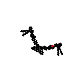 CCCCCCCCC1(CCCCCCCC)c2ccccc2-c2ccc(-c3ccc4c(c3)C(C)(C)c3cc(-c5cc(C)c(-c6cc7c8c(c6)c6cc(-c9cc(C)c(-c%10ccc%11c(c%10)C(C)(C)c%10cc(-c%12ccc%13c(c%12)C(CCCCCCCC)(CCCCCCCC)c%12ccccc%12-%13)ccc%10-%11)cc9C)cc9c6n8-c6c(cccc6B9c6c(C)cc(C)cc6C)B7c6c(C)cc(C)cc6C)cc5C)ccc3-4)cc21